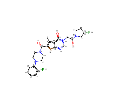 Cc1c(C(=O)N2CCN(c3ccccc3F)CC2)sc2ncn(CC(=O)N3CC[C@H](F)C3)c(=O)c12